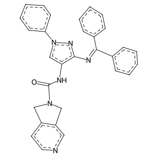 O=C(Nc1cn(-c2ccccc2)nc1N=C(c1ccccc1)c1ccccc1)N1Cc2ccncc2C1